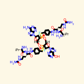 CC(C)[C@H](N)C(=O)N[C@@H](CCCNC(N)=O)C(=O)Nc1ccc(CSP2(=O)OC[C@H]3O[C@@H](n4cnc5c(O)ncnc54)[C@H](F)[C@@H]3P(=O)(SCc3ccc(NC(=O)[C@H](CCCNC(N)=O)NC(=O)[C@@H](N)C(C)C)cc3)OC[C@H]3O[C@@H](n4cnc5c(N)ncnc54)[C@H](F)[C@@H]32)cc1